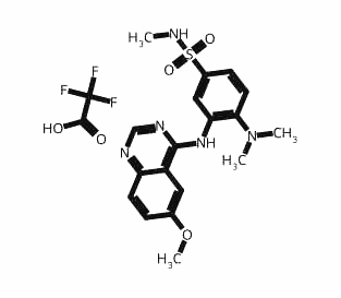 CNS(=O)(=O)c1ccc(N(C)C)c(Nc2ncnc3ccc(OC)cc23)c1.O=C(O)C(F)(F)F